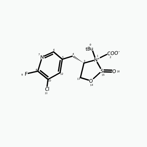 CC(C)(C)[N+]1(C(=O)[O-])[C@@H](Cc2cnc(F)c(Cl)c2)COS1=O